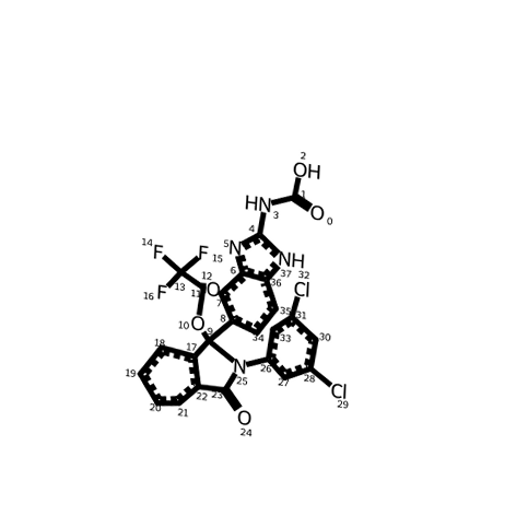 O=C(O)Nc1nc2cc(C3(OC(=O)C(F)(F)F)c4ccccc4C(=O)N3c3cc(Cl)cc(Cl)c3)ccc2[nH]1